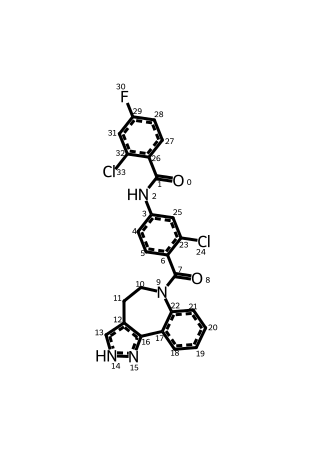 O=C(Nc1ccc(C(=O)N2CCc3c[nH]nc3-c3ccccc32)c(Cl)c1)c1ccc(F)cc1Cl